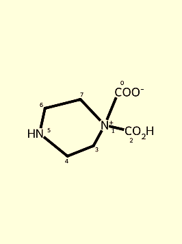 O=C([O-])[N+]1(C(=O)O)CCNCC1